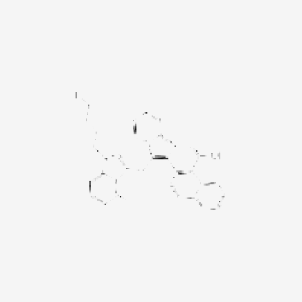 Cc1cccc2c1c(Cc1c(-c3ccc4ccccc4c3C(=O)O)nc3ccccn13)cn2CCCCF